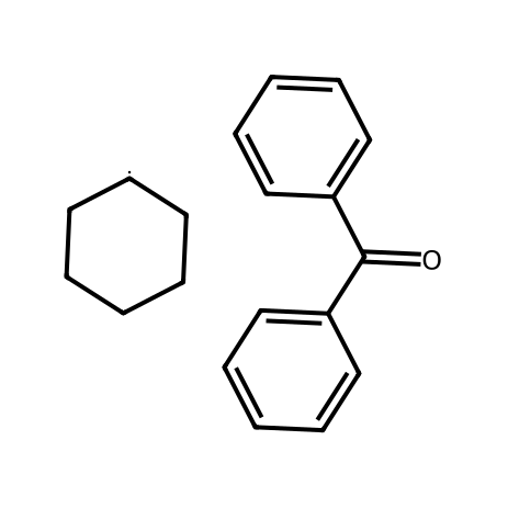 O=C(c1ccccc1)c1ccccc1.[CH]1CCCCC1